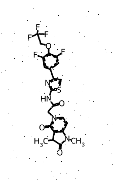 CC1C(=O)N(C)c2ccn(CC(=O)Nc3nc(-c4cc(F)c(OCC(F)(F)F)c(F)c4)cs3)c(=O)c21